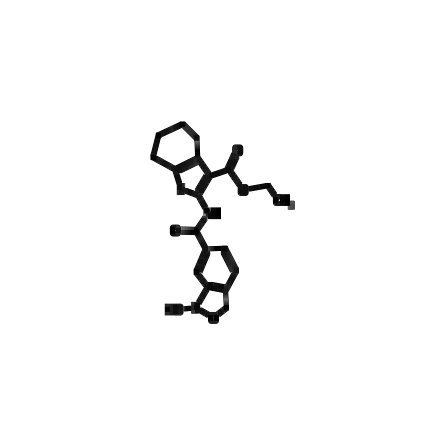 CCOC(=O)c1c(NC(=O)c2ccc3c(c2)B(O)OC3)sc2c1CCCC2